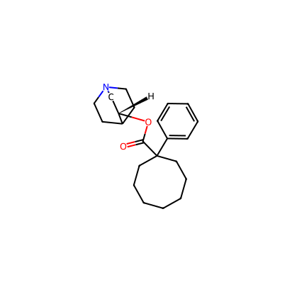 O=C(O[C@H]1CN2CCC1CC2)C1(c2ccccc2)CCCCCCC1